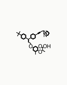 Cc1cc(OCC=C(c2ccc(C#CCn3cccn3)cc2)c2ccc(C(C)(C)C)cc2)ccc1OC(C)C(=O)O